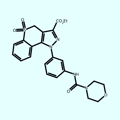 CCOC(=O)c1nn(-c2cccc(NC(=O)N3CCOCC3)c2)c2c1CS(=O)(=O)c1ccccc1-2